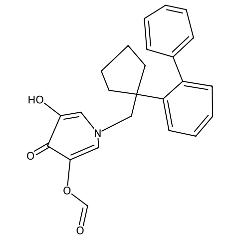 O=COc1cn(CC2(c3ccccc3-c3ccccc3)CCCC2)cc(O)c1=O